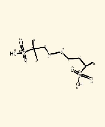 CC(CCSSCC(C)(C)S(=O)(=O)O)S(=O)(=O)O